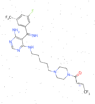 N=C(c1cc(F)cc(C(F)(F)F)c1)c1c(N)ncnc1NCCCCCN1CCN(C(=O)/C=C/C(F)(F)F)CC1